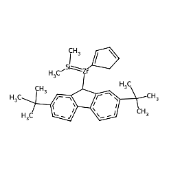 C[Si](C)=[Zr]([C]1=CC=CC1)[CH]1c2cc(C(C)(C)C)ccc2-c2ccc(C(C)(C)C)cc21